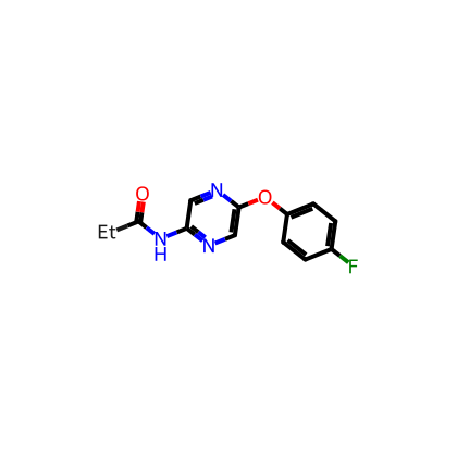 CCC(=O)Nc1cnc(Oc2ccc(F)cc2)cn1